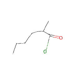 CCCCC(C)C(=O)Cl